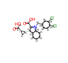 O=C(O)c1c([C@@H]2C[C@H]2C(=O)O)c2ccccc2n1Cc1ccc(Cl)c(Cl)c1